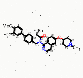 COc1ccc(-c2ccc(CN(C(=O)CC(C)(C)C)c3nccc4cc(OC5CCN(C)CC5)ccc34)cc2)cc1C